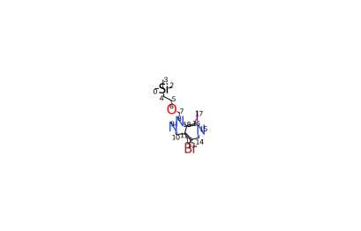 C[Si](C)(C)CCOCn1ncc2c(Br)cnc(I)c21